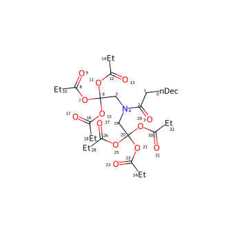 CCCCCCCCCCCC(=O)N(CC(OC(=O)CC)(OC(=O)CC)OC(=O)CC)CC(OC(=O)CC)(OC(=O)CC)OC(=O)CC